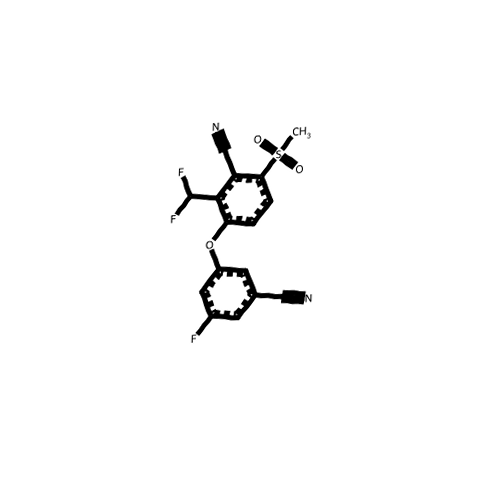 CS(=O)(=O)c1ccc(Oc2cc(F)cc(C#N)c2)c(C(F)F)c1C#N